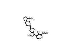 CNc1nccc(-c2n[nH]c3nc(N4CCC5(CCC[C@H]5N)CC4)cnc23)c1Cl